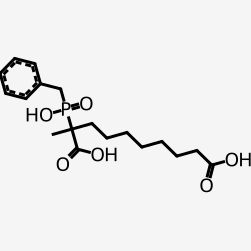 CC(CCCCCCCC(=O)O)(C(=O)O)P(=O)(O)Cc1ccccc1